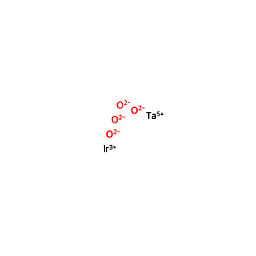 [Ir+3].[O-2].[O-2].[O-2].[O-2].[Ta+5]